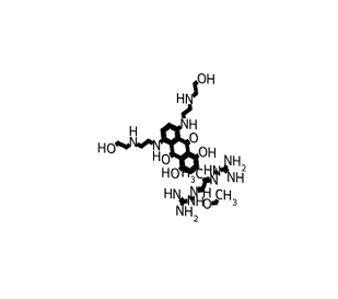 CC(/C=N/NC(=N)N)=N\NC(=N)N.CCO.O=C1c2c(O)ccc(O)c2C(=O)c2c(NCCNCCO)ccc(NCCNCCO)c21